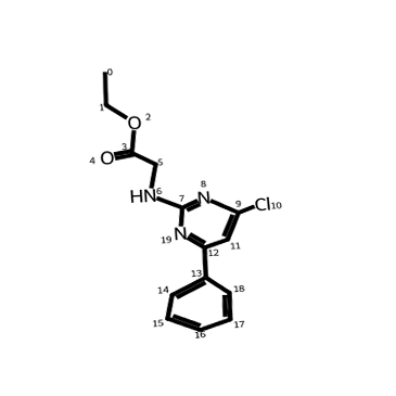 CCOC(=O)CNc1nc(Cl)cc(-c2ccccc2)n1